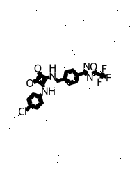 O=c1c(NCc2ccc(-c3noc(C(F)(F)F)n3)cc2)c(Nc2ccc(Cl)cc2)c1=O